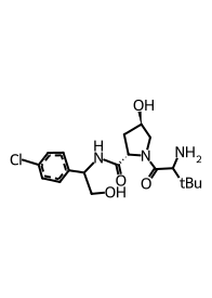 CC(C)(C)C(N)C(=O)N1C[C@H](O)C[C@H]1C(=O)NC(CO)c1ccc(Cl)cc1